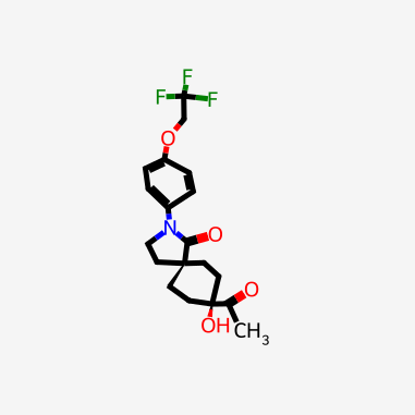 CC(=O)[C@]1(O)CC[C@]2(CCN(c3ccc(OCC(F)(F)F)cc3)C2=O)CC1